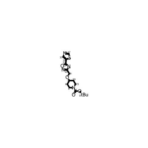 CC(C)(C)OC(=O)N1CCC(OCc2noc(-c3cncs3)n2)CC1